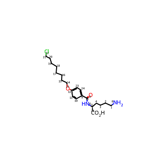 NCCCC[C@H](NC(=O)c1ccc(OCCCCCCCCCl)cc1)C(=O)O